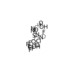 CC(C)(Cc1nnc(-c2nc(CN3CCCC(F)C3)c(-c3ccc(C(O)(C(F)(F)F)C(F)(F)F)c(Cl)c3Cl)s2)o1)C(=O)O